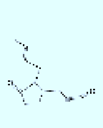 CC/C=C/CC1C(=O)CCC1CN=C=O